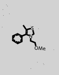 COCCN1CSC(C)=C1c1ccccc1